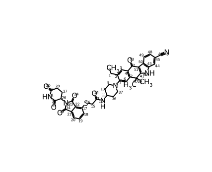 CCc1cc2c(cc1N1CCC(NC(=O)CSc3cccc4c3C(=O)N(C3CCC(=O)NC3=O)C4=O)CC1)C(C)(C)c1[nH]c3cc(C#N)ccc3c1C2=O